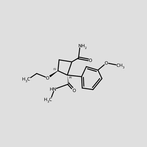 CCO[C@H]1CC(C(N)=O)[C@@]1(C(=O)NC)c1cccc(OC)c1